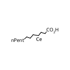 CCCCCCCCCCCC(=O)O.[Ce]